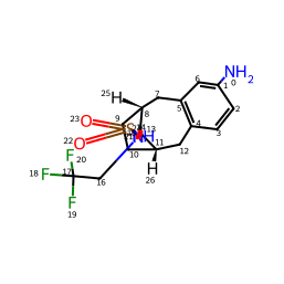 Nc1ccc2c(c1)C[C@H]1CC[C@@H](C2)[C@]12CN(CC(F)(F)F)S(=O)(=O)N2